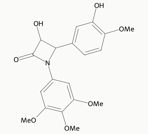 COc1ccc(C2C(O)C(=O)N2c2cc(OC)c(OC)c(OC)c2)cc1O